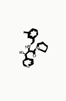 O=C(C(NCc1cccc(I)c1)[C@H](O)c1ccncc1)N1CCCC1